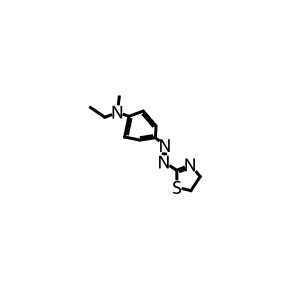 CCN(C)c1ccc(/N=N/C2=NCCS2)cc1